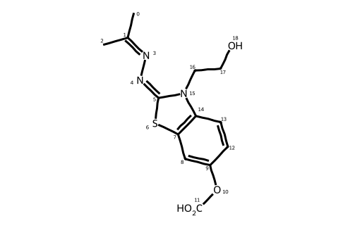 CC(C)=NN=c1sc2cc(OC(=O)O)ccc2n1CCO